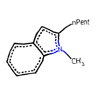 CCCCCc1cc2ccccc2n1C